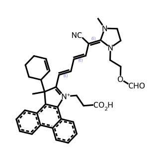 CN1CCN(CCOC=O)\C1=C(C#N)/C=C/C=C/C1=[N+](CCC(=O)O)c2c(c3ccccc3c3ccccc23)C1(C)C1C=CCCC1